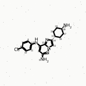 Nc1cc(Nc2ccc(Cl)cc2)c2nc([C@H]3CC[C@H](N)CC3)cn2n1